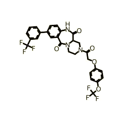 O=C1Nc2ccc(-c3cccc(C(F)(F)F)c3)cc2C(=O)N2CCN(C(=O)COc3ccc(OC(F)(F)F)cc3)CC12